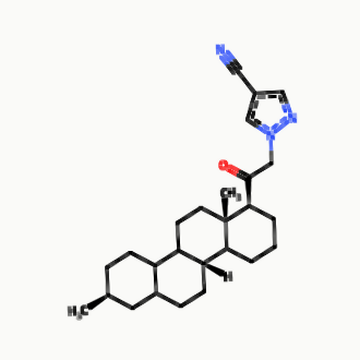 C[C@H]1CCC2C(CC[C@@H]3C2CC[C@@]2(C)C3CCC[C@@H]2C(=O)Cn2cc(C#N)cn2)C1